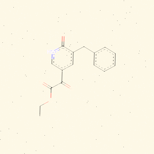 CCOC(=O)C(=O)c1c[nH]c(=O)c(Cc2ccccc2)c1